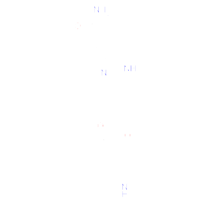 NC(=O)c1ccc2[nH]c(-c3ccc(OC(C(=O)c4ccccc4)C4CCNCC4)cc3)nc2c1